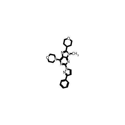 Cn1c(C2CCOCC2)nc2c(N3CCOCC3)nc(-n3ccc(-c4ccccc4)n3)nc21